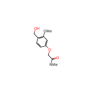 CNC(=O)COc1ccc(CO)c(OC)c1